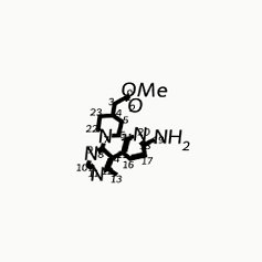 COC(=O)CC1CCN(c2ncnc(C)c2-c2ccc(N)nc2)CC1